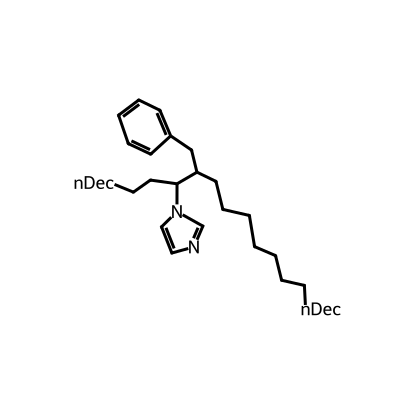 CCCCCCCCCCCCCCCCCC(Cc1ccccc1)C(CCCCCCCCCCCC)n1ccnc1